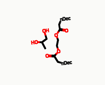 CC(O)CO.CCCCCCCCCCCC(=O)OCCOC(=O)CCCCCCCCCCC